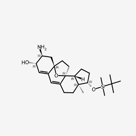 CC(C)(C)[Si](C)(C)O[C@H]1CC[C@@H]2[C@]1(C)CCC1=CC3=C[C@H](O)[C@@H](N)C[C@]34CC[C@@]12O4